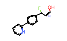 O/C=C\C(F)c1ccc(-c2ccccn2)cc1